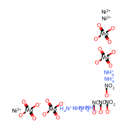 O=[N+]([O-])[O-].O=[N+]([O-])[O-].O=[N+]([O-])[O-].O=[N+]([O-])[O-].[NH4+].[NH4+].[NH4+].[NH4+].[NH4+].[NH4+].[Ni+2].[Ni+2].[Ni+2].[O]=[Mo](=[O])([O-])[O-].[O]=[Mo](=[O])([O-])[O-].[O]=[Mo](=[O])([O-])[O-].[O]=[Mo](=[O])([O-])[O-]